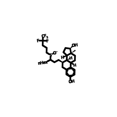 CCCCCCC(CC[C@@H]1Cc2cc(O)ccc2[C@H]2CC[C@]3(C)[C@@H](O)CC[C@H]3[C@H]12)[S+]([O-])CCCC(F)(F)C(F)(F)F